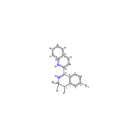 CC1c2cc(F)ccc2C(c2ccc3ccccc3n2)=NC1(C)C